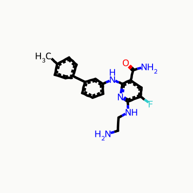 Cc1ccc(-c2cccc(Nc3nc(NCCN)c(F)cc3C(N)=O)c2)cc1